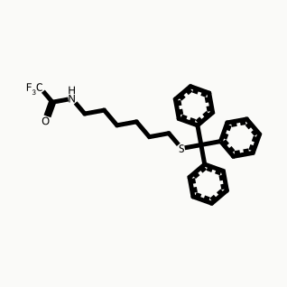 O=C(NCCCCCCSC(c1ccccc1)(c1ccccc1)c1ccccc1)C(F)(F)F